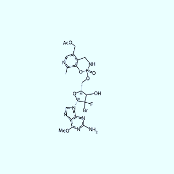 COc1nc(N)nc2c1ncn2[C@@H]1O[C@H](COP2(=O)NCc3c(COC(C)=O)cnc(C)c3O2)C(O)C1(F)Br